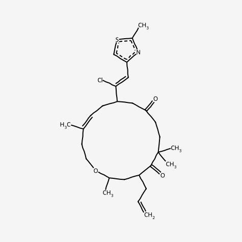 C=CCC1CC(C)OCCC(C)=CCC(C(Cl)=Cc2csc(C)n2)CC(=O)CCC(C)(C)C1=O